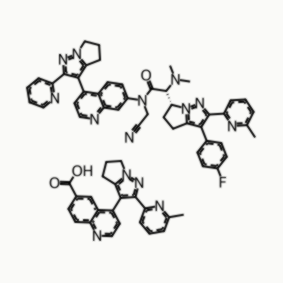 Cc1cccc(-c2nn3c(c2-c2ccc(F)cc2)CC[C@@H]3C(C(=O)N(CC#N)c2ccc3c(-c4c(-c5ccccn5)nn5c4CCC5)ccnc3c2)N(C)C)n1.Cc1cccc(-c2nn3c(c2-c2ccnc4ccc(C(=O)O)cc24)CCC3)n1